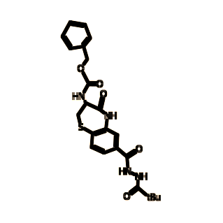 CC(C)(C)C(=O)NNC(=O)c1ccc2c(c1)NC(=O)[C@@H](NC(=O)OCc1ccccc1)CS2